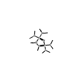 CN=P(N=P(N(C)C)(N(C)C)N(C)C)(N(C)C)N(C)C